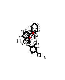 Cc1ccc(OC(C)(C)C(=O)NC2CC3CCC(C2)N3C(=O)c2cccc(C#N)c2)c(Cl)c1